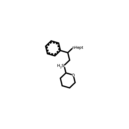 CCCCCCCC(C[SiH2]C1CCCCO1)c1ccccc1